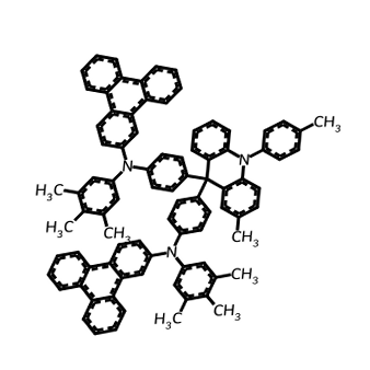 Cc1ccc(N2c3ccccc3C(c3ccc(N(c4cc(C)c(C)c(C)c4)c4ccc5c6ccccc6c6ccccc6c5c4)cc3)(c3ccc(N(c4cc(C)c(C)c(C)c4)c4ccc5c6ccccc6c6ccccc6c5c4)cc3)c3cc(C)ccc32)cc1